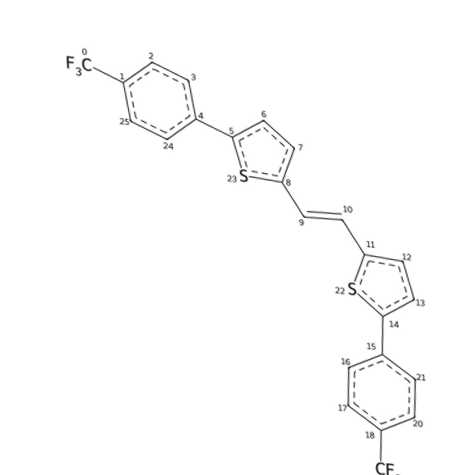 FC(F)(F)c1ccc(-c2ccc(/C=C/c3ccc(-c4ccc(C(F)(F)F)cc4)s3)s2)cc1